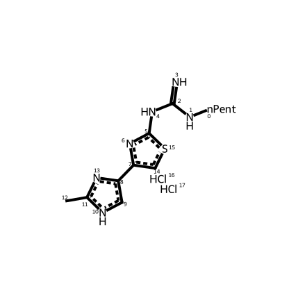 CCCCCNC(=N)Nc1nc(-c2c[nH]c(C)n2)cs1.Cl.Cl